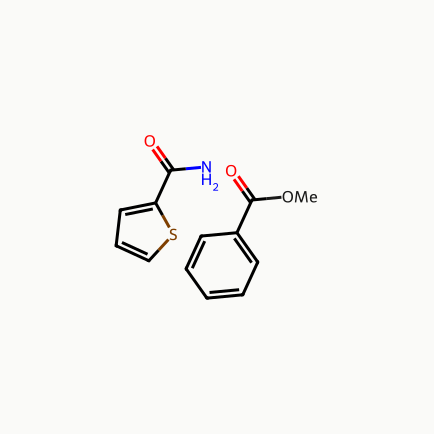 COC(=O)c1ccccc1.NC(=O)c1cccs1